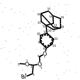 COC(CBr)OCOc1c[c]c(C23CC4CC(CC(C4)C2)C3)cc1